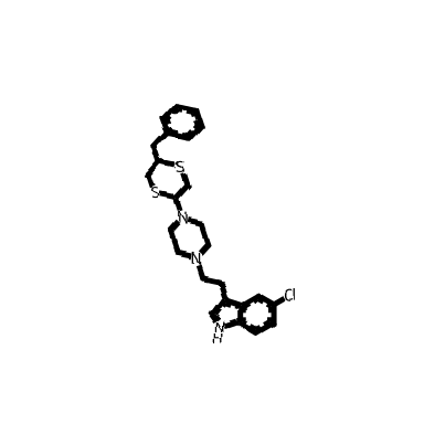 Clc1ccc2[nH]cc(CCN3CCN(C4CSC(Cc5ccccc5)CS4)CC3)c2c1